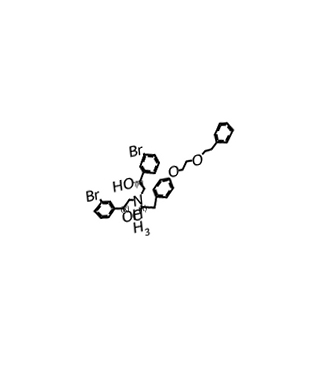 C[C@H](Cc1ccc(OCCOCCc2ccccc2)cc1)N(C[C@H](O)c1cccc(Br)c1)C[C@H](O)c1cccc(Br)c1